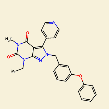 CC(C)Cn1c(=O)n(C)c(=O)c2c(-c3ccncc3)n(Cc3cccc(Oc4ccccc4)c3)nc21